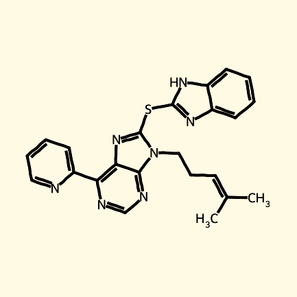 CC(C)=CCCn1c(Sc2nc3ccccc3[nH]2)nc2c(-c3ccccn3)ncnc21